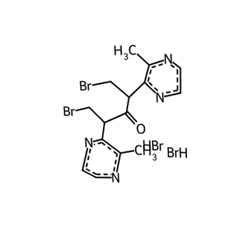 Br.Br.Cc1nccnc1C(CBr)C(=O)C(CBr)c1nccnc1C